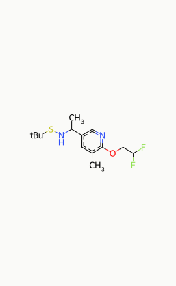 Cc1cc(C(C)NSC(C)(C)C)cnc1OCC(F)F